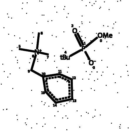 COP(=O)([O-])C(C)(C)C.C[N+](C)(C)Cc1ccccc1